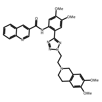 COc1cc2c(cc1OC)CN(CCn1nnc(-c3cc(OC)c(OC)cc3NC(=O)c3cnc4ccccc4c3)n1)CC2